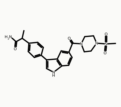 CC(C(N)=O)c1ccc(-c2c[nH]c3ccc(C(=O)N4CCN(S(C)(=O)=O)CC4)cc23)cc1